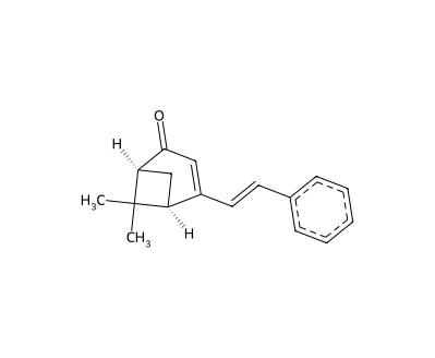 CC1(C)[C@@H]2C[C@H]1C(/C=C/c1ccccc1)=CC2=O